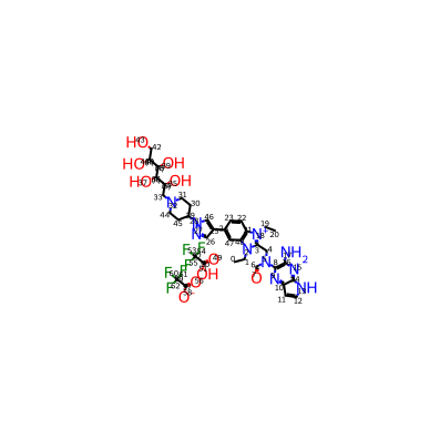 CCn1c(CN(C=O)c2nc3cc[nH]c3nc2N)[n+](CC)c2ccc(-c3cnn(C4CCN(C[C@H](O)[C@@H](O)[C@H](O)[C@H](O)CO)CC4)c3)cc21.O=C(O)C(F)(F)F.O=C([O-])C(F)(F)F